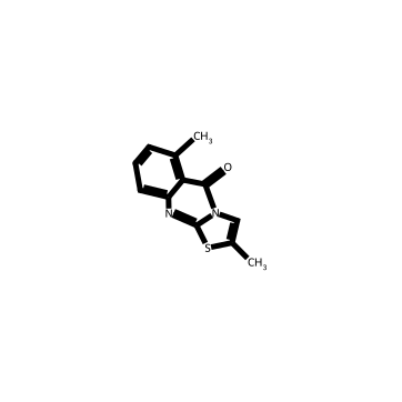 Cc1cn2c(=O)c3c(C)cccc3nc2s1